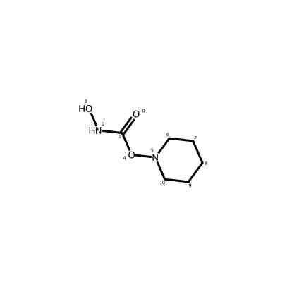 O=C(NO)ON1CCCCC1